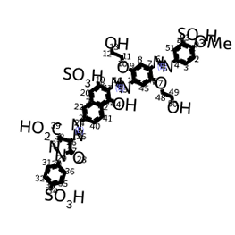 COc1ccc(/N=N/c2cc(OCCO)c(/N=N/c3c(S(=O)(=O)O)cc4cc(/N=N/C5C(=O)N(c6ccc(S(=O)(=O)O)cc6)N=C5C(=O)O)ccc4c3O)cc2OCCO)cc1S(=O)(=O)O